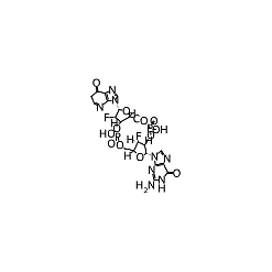 Nc1nc2c(ncn2[C@@H]2O[C@@H]3COP(=O)(O)O[C@H]4[C@@H](F)[C@H](n5cnc6c5N=CCC6=O)O[C@@H]4COP(=O)(O)O[C@@H]2[C@@H]3F)c(=O)[nH]1